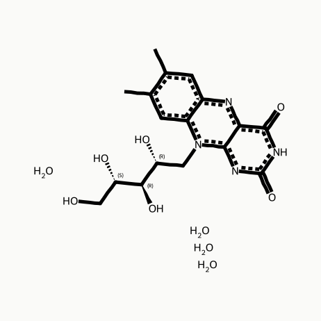 Cc1cc2nc3c(=O)[nH]c(=O)nc-3n(C[C@@H](O)[C@@H](O)[C@@H](O)CO)c2cc1C.O.O.O.O